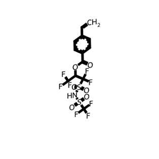 C=Cc1ccc(C(=O)OC(C(F)(F)F)C(F)(F)S(=O)(=O)NS(=O)(=O)C(F)(F)F)cc1